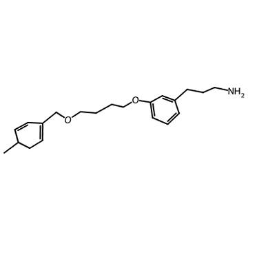 CC1C=CC(COCCCCOc2cccc(CCCN)c2)=CC1